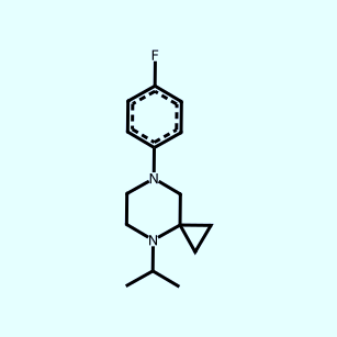 CC(C)N1CCN(c2ccc(F)cc2)CC12CC2